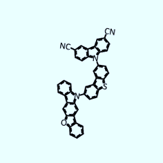 N#Cc1ccc2c(c1)c1cc(C#N)ccc1n2-c1ccc2sc3ccc(-n4c5ccccc5c5cc6oc7ccccc7c6cc54)cc3c2c1